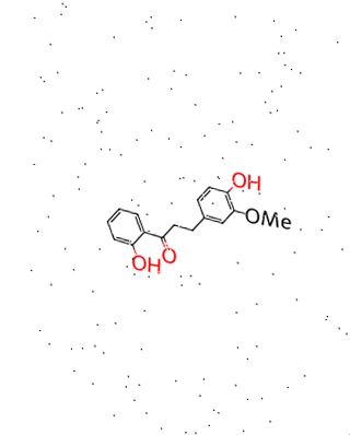 COc1cc(CCC(=O)c2ccccc2O)ccc1O